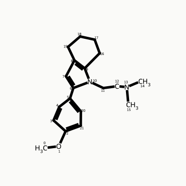 COc1ccc(-c2cc3c(n2CCN(C)C)CCCC3)cc1